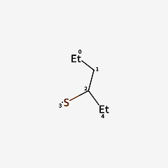 [CH2]CCC([S])CC